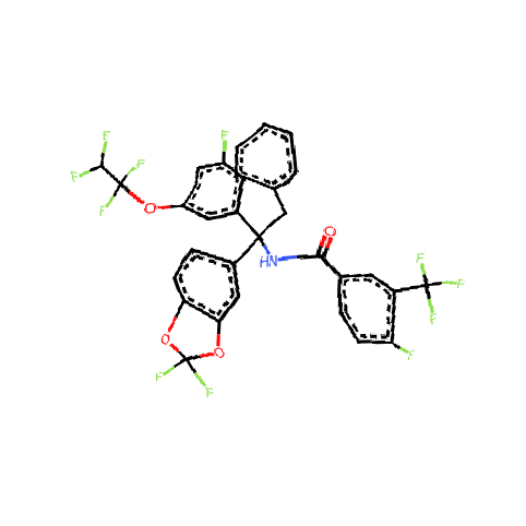 O=C(NC(Cc1ccccc1)(c1cc(F)cc(OC(F)(F)C(F)F)c1)c1ccc2c(c1)OC(F)(F)O2)c1ccc(F)c(C(F)(F)F)c1